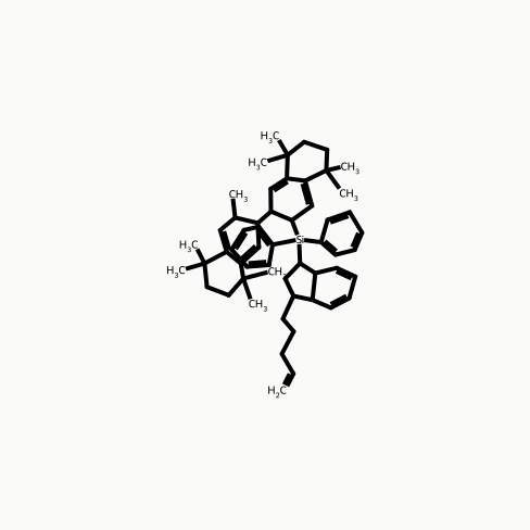 C=CCCCC1CC([Si](c2ccccc2)(c2ccccc2)C2C=C3C(=CC2C2C=C4C(=CC2C)C(C)(C)CCC4(C)C)C(C)(C)CCC3(C)C)C2C=CC=CC12